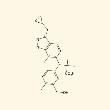 Cc1ccc(C(c2ccc3c(nnn3CC3CC3)c2C)C(C)(C)C(=O)O)nc1CO